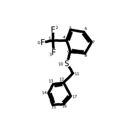 FC(F)(F)c1ccccc1SCc1ccccc1